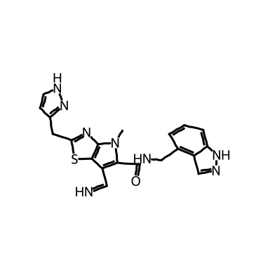 Cn1c(C(=O)NCc2cccc3[nH]ncc23)c(C=N)c2sc(Cc3cc[nH]n3)nc21